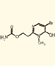 CN1C(CCOC(N)=O)=NC=C(Br)C1O